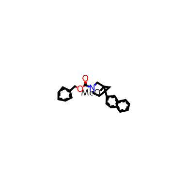 COCC12CN(C(=O)OCc3ccccc3)CCC1(c1ccc3ccccc3c1)C2